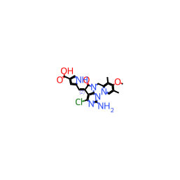 COc1c(C)cnc(CN2C(=O)/C(=C\c3cc(C(=O)O)c[nH]3)c3c(Cl)nc(N)nc32)c1C